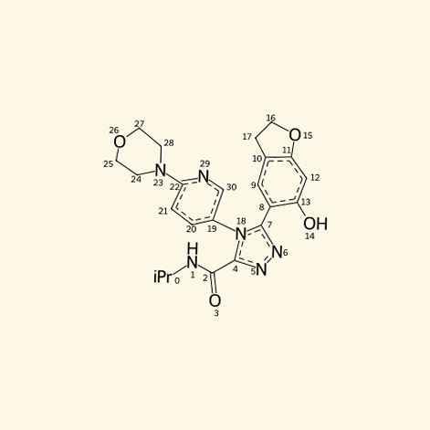 CC(C)NC(=O)c1nnc(-c2cc3c(cc2O)OCC3)n1-c1ccc(N2CCOCC2)nc1